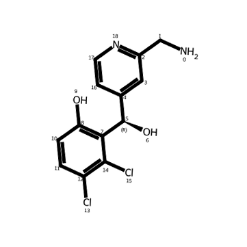 NCc1cc([C@@H](O)c2c(O)ccc(Cl)c2Cl)ccn1